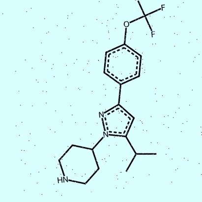 CC(C)c1cc(-c2ccc(OC(F)(F)F)cc2)nn1C1CCNCC1